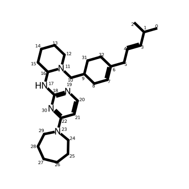 CC(C)/C=C/CC1=CCC(CN2CCCCC2Nc2nccc(N3CCCCCC3)n2)CC1